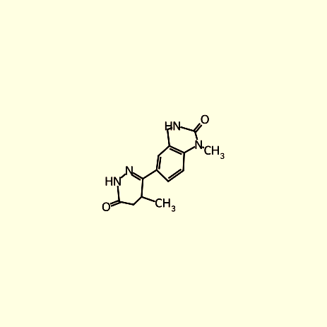 CC1CC(=O)NN=C1c1ccc2c(c1)CNC(=O)N2C